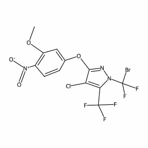 COc1cc(Oc2nn(C(F)(F)Br)c(C(F)(F)F)c2Cl)ccc1[N+](=O)[O-]